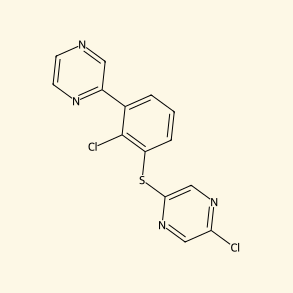 Clc1cnc(Sc2cccc(-c3cnccn3)c2Cl)cn1